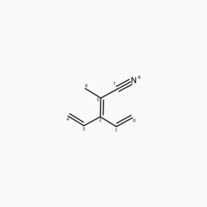 C=CC(C=C)=C(C)C#N